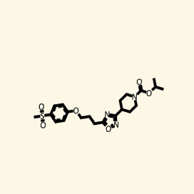 CC(C)OC(=O)N1CCC(c2noc(CCCOc3ccc(S(C)(=O)=O)cc3)n2)CC1